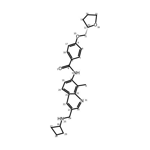 Cc1c(NC(=O)c2ccc(OC[C@@H]3CCCO3)cc2)ccc2cc(CNC3CCC3)cnc12